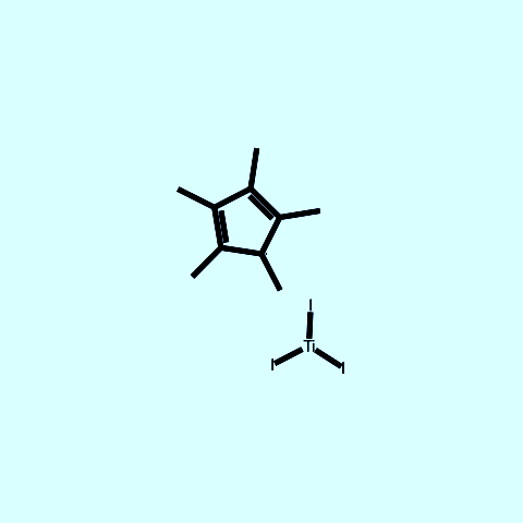 C[C]1C(C)=C(C)C(C)=C1C.[I][Ti]([I])[I]